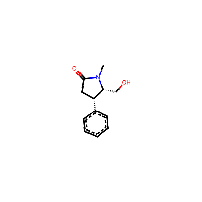 CN1C(=O)C[C@@H](c2ccccc2)[C@H]1CO